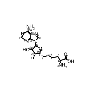 C[C@@H]1[C@@H](CSCC[C@H](N)C(=O)O)OC(n2cnc3c(N)ncnc32)[C@@H]1O